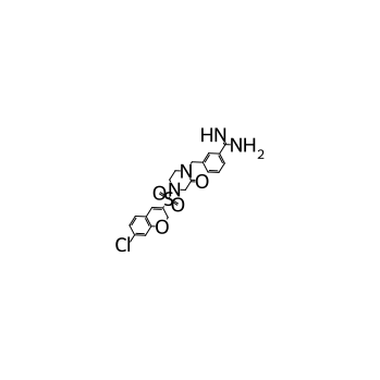 N=C(N)c1cccc(CN2CCN(S(=O)(=O)C3=Cc4ccc(Cl)cc4OC3)CC2=O)c1